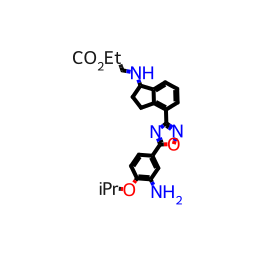 CCOC(=O)CNC1CCc2c(-c3noc(-c4ccc(OC(C)C)c(N)c4)n3)cccc21